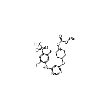 CC(C)(C)OC(=O)ON1CCC(Oc2cc(Nc3cc(F)c(S(C)(=O)=O)cc3F)ncn2)CC1